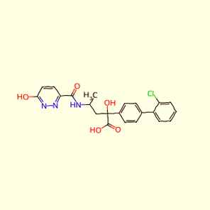 CC(CC(O)(C(=O)O)c1ccc(-c2ccccc2Cl)cc1)NC(=O)c1ccc(O)nn1